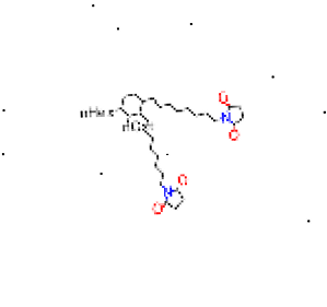 CCCCCCCCC1C(CCCCCC)CCC(CCCCCCCCN2C(=O)CCC2=O)C1CCCCCCCCN1C(=O)CCC1=O